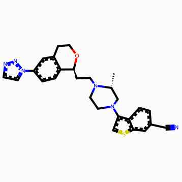 C[C@@H]1CN(c2csc3cc(C#N)ccc23)CCN1CC[C@@H]1OCCc2cc(-n3ccnn3)ccc21